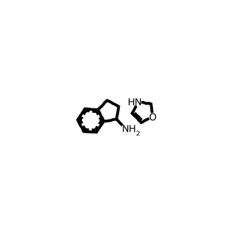 C1=COCN1.NC1CCc2ccccc21